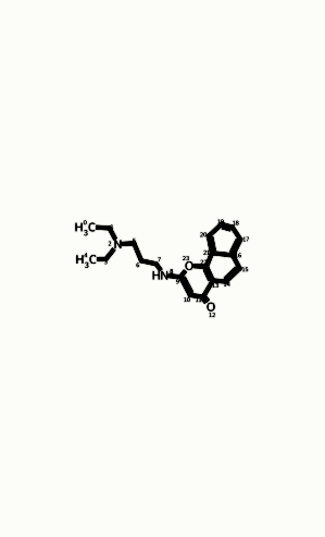 CCN(CC)CCCNc1cc(=O)c2ccc3ccccc3c2o1